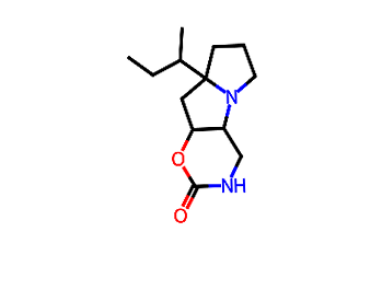 CCC(C)C12CCCN1C1CNC(=O)OC1C2